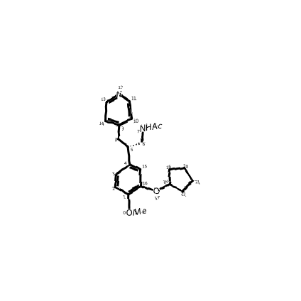 COc1ccc([C@@H](CNC(C)=O)Cc2ccncc2)cc1OC1CCCC1